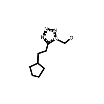 [O]Cn1nnnc1CCC1CCCC1